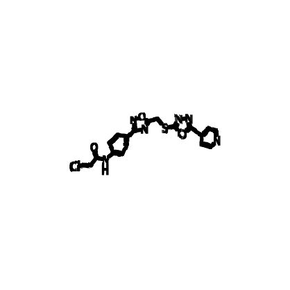 O=C(CCl)Nc1ccc(-c2noc(CSc3nnc(-c4ccncc4)o3)n2)cc1